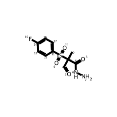 CC([C]=O)(C(=O)NN)S(=O)(=O)c1ccc(F)cc1